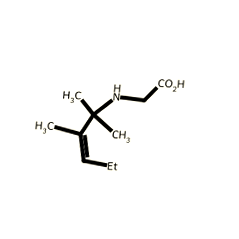 CC/C=C(/C)C(C)(C)NCC(=O)O